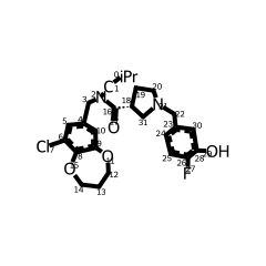 CC(C)CN(Cc1cc(Cl)c2c(c1)OCCCO2)C(=O)[C@@H]1CCN(Cc2ccc(F)c(O)c2)C1